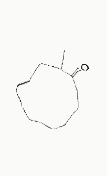 CC1CCCCCCCCCC1=O